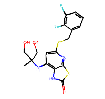 CC(CO)(CO)Nc1cc(SCc2cccc(F)c2F)nc2sc(=O)[nH]c12